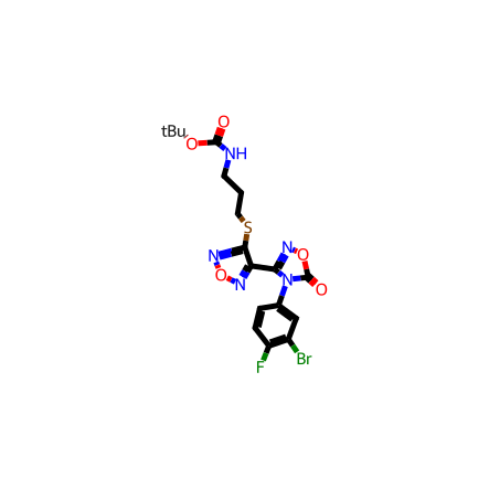 CC(C)(C)OC(=O)NCCCSc1nonc1-c1noc(=O)n1-c1ccc(F)c(Br)c1